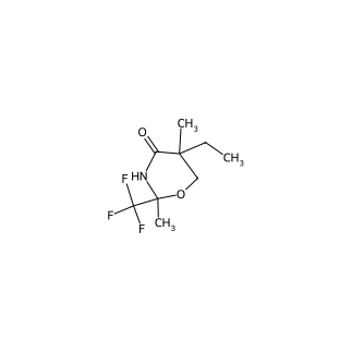 CCC1(C)COC(C)(C(F)(F)F)NC1=O